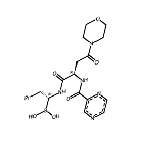 CC(C)C[C@H](NC(=O)[C@@H](CC(=O)N1CCOCC1)NC(=O)c1cnccn1)B(O)O